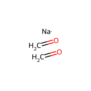 C=O.C=O.[Na]